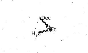 C=CCCCCOC(CC)COCCCCCCCCCCCCCCCC